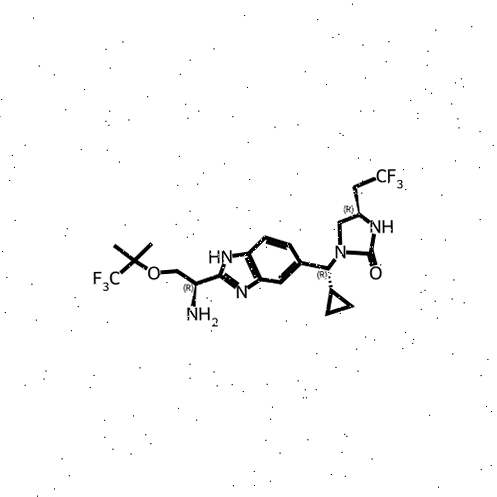 CC(C)(OC[C@H](N)c1nc2cc([C@@H](C3CC3)N3C[C@@H](CC(F)(F)F)NC3=O)ccc2[nH]1)C(F)(F)F